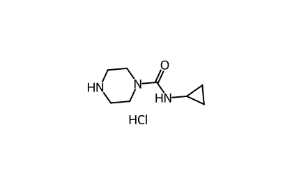 Cl.O=C(NC1CC1)N1CCNCC1